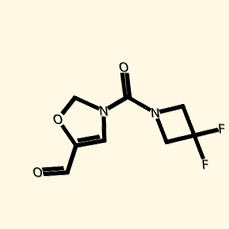 O=CC1=CN(C(=O)N2CC(F)(F)C2)CO1